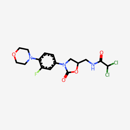 O=C(NCC1CN(c2ccc(N3CCOCC3)c(F)c2)C(=O)O1)C(Cl)Cl